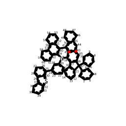 c1ccc(C2(c3ccccc3)c3ccccc3-c3c(N(c4cccc(-c5cccc6c5sc5ccccc56)c4)c4c(-c5cccc6ccccc56)c5ccccc5c5ccccc45)cccc32)cc1